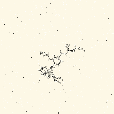 C=CCc1cc(CCC(=O)OCC)ccc1C#CC1(O[Si](C)(C)C)CN2CCC1CC2